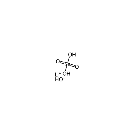 O=[Se](=O)(O)O.[Li+].[OH-]